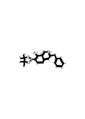 CC1(C)OB(c2ccc3cc(Cc4ccccc4)ncc3c2F)OC1(C)C